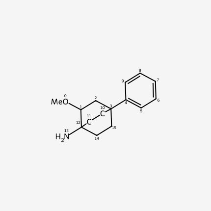 COC1CC2(c3ccccc3)CCC1(N)CC2